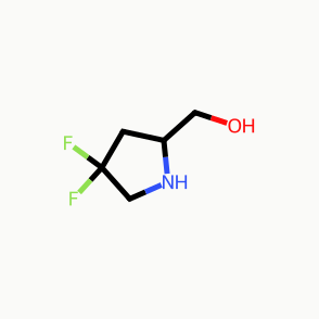 OCC1CC(F)(F)CN1